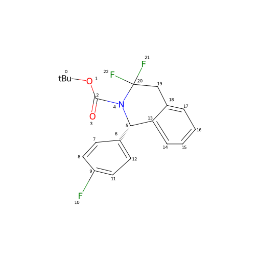 CC(C)(C)OC(=O)N1[C@@H](c2ccc(F)cc2)c2ccccc2CC1(F)F